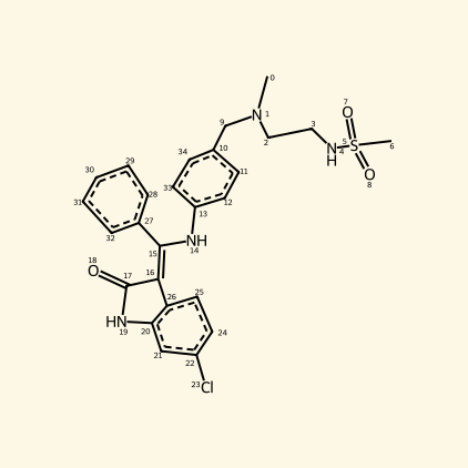 CN(CCNS(C)(=O)=O)Cc1ccc(NC(=C2C(=O)Nc3cc(Cl)ccc32)c2ccccc2)cc1